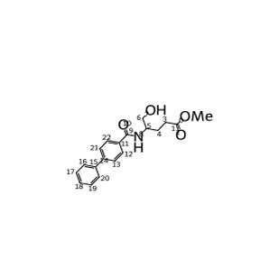 COC(=O)CCC(CO)NC(=O)c1ccc(-c2ccccc2)cc1